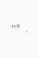 CCCCCCC(C)NC[C@H]1CCC(=O)N1CCSc1nc(C(=O)O)cs1